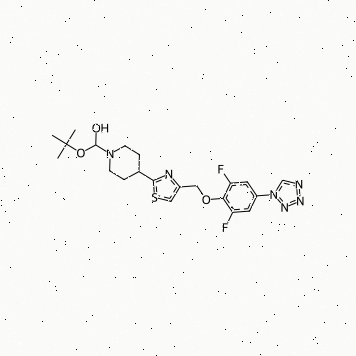 CC(C)(C)OC(O)N1CCC(c2nc(COc3c(F)cc(-n4cnnn4)cc3F)cs2)CC1